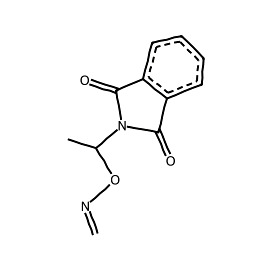 C=NOC(C)N1C(=O)c2ccccc2C1=O